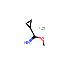 COC(=N)C1CC1.Cl